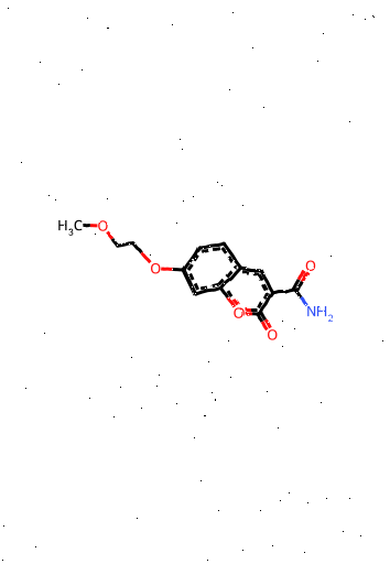 COCCOc1ccc2cc(C(N)=O)c(=O)oc2c1